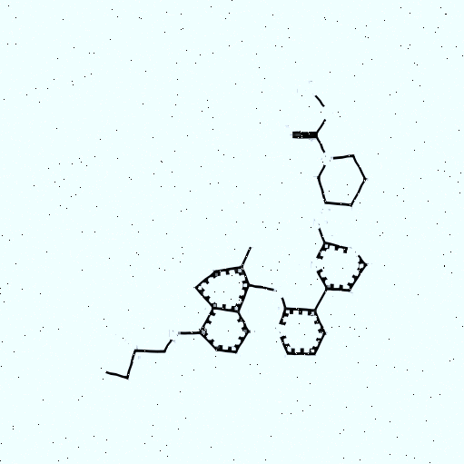 Cc1ccc2c(NC[C@@H](O)CF)cccc2c1Oc1ncccc1-c1ccnc(N[C@H]2CCCN(C(=O)OC(C)(C)C)C2)n1